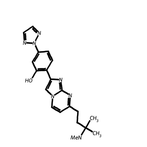 CNC(C)(C)CCc1ccn2cc(-c3ccc(-n4nccn4)cc3O)nc2n1